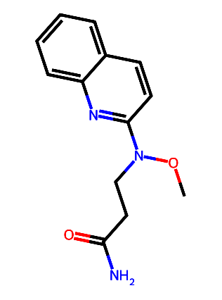 CON(CCC(N)=O)c1ccc2ccccc2n1